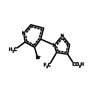 Cc1nccc(-n2ncc(C(=O)O)c2C(F)(F)F)c1Br